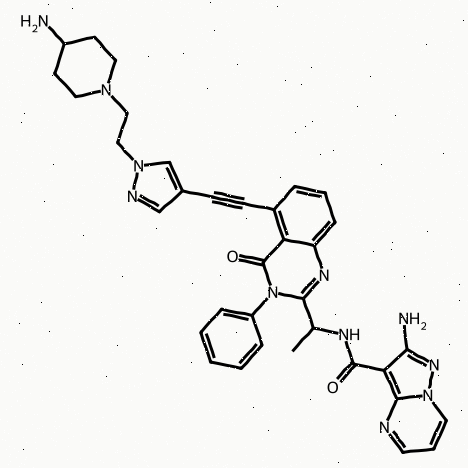 CC(NC(=O)c1c(N)nn2cccnc12)c1nc2cccc(C#Cc3cnn(CCN4CCC(N)CC4)c3)c2c(=O)n1-c1ccccc1